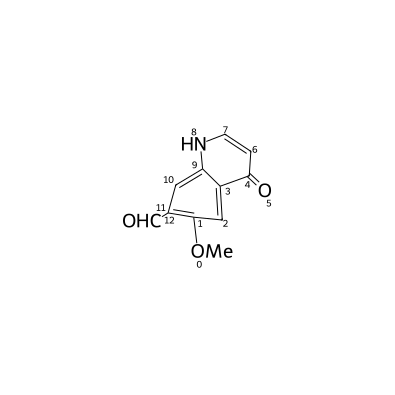 COc1cc2c(=O)cc[nH]c2cc1C=O